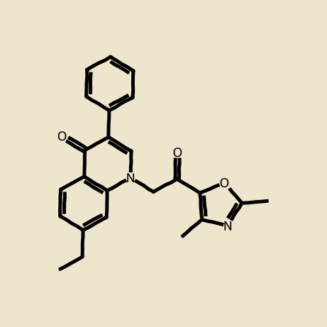 CCc1ccc2c(=O)c(-c3ccccc3)cn(CC(=O)c3oc(C)nc3C)c2c1